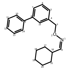 [C](=N/OCc1cccc(-c2ccccc2)c1)/C1CCCCC1